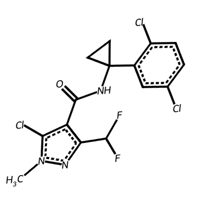 Cn1nc(C(F)F)c(C(=O)NC2(c3cc(Cl)ccc3Cl)CC2)c1Cl